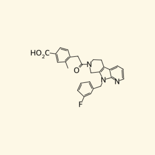 Cc1cc(C(=O)O)ccc1CC(=O)N1CCc2c(n(Cc3cccc(F)c3)c3ncccc23)C1